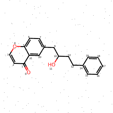 O=c1ccoc2ccc(CC(O)CCc3ccccc3)cc12